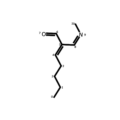 CCCC/C=C(C=O)\C=N/C